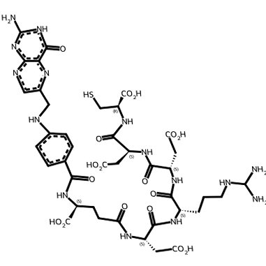 Nc1nc2ncc(CNc3ccc(C(=O)N[C@@H](CCC(=O)N[C@@H](CC(=O)O)C(=O)N[C@@H](CCCNC(N)N)C(=O)N[C@@H](CC(=O)O)C(=O)N[C@@H](CC(=O)O)C(=O)N[C@@H](CS)C(=O)O)C(=O)O)cc3)nc2c(=O)[nH]1